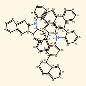 C1=CC2C3C=c4ccccc4=CC3N(c3ccccc3-c3ccc(N(c4ccc(-c5cccc6ccccc56)cc4)c4ccccc4-c4cc5ccccc5c5ccccc45)c(-c4ccccc4)c3)C2C=C1